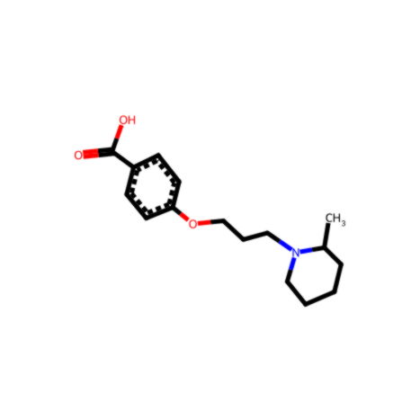 CC1CCCCN1CCCOc1ccc(C(=O)O)cc1